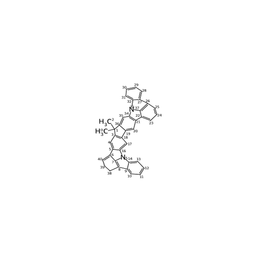 CC1(C)c2cc3c4c5c(c6ccccc6n5c3cc2-c2cc3c5cccc6c7ccccc7n(c3cc21)c65)CCC=4